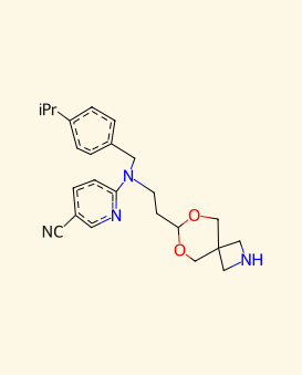 CC(C)c1ccc(CN(CCC2OCC3(CNC3)CO2)c2ccc(C#N)cn2)cc1